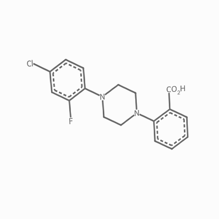 O=C(O)c1ccccc1N1CCN(c2ccc(Cl)cc2F)CC1